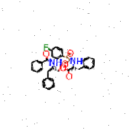 O=C(N[C@H](COC(=O)[C@@H](Cc1ccccc1)NS(=O)(=O)c1ccc(F)cc1)Cc1ccccc1)c1ccccc1